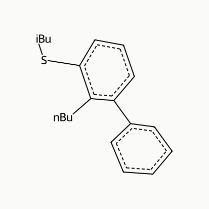 CCCCc1c(SC(C)CC)cccc1-c1ccccc1